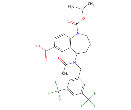 CC(=O)N(Cc1cc(C(F)(F)F)cc(C(F)(F)F)c1)C1CCCN(C(=O)OC(C)C)c2ccc(C(=O)O)cc21